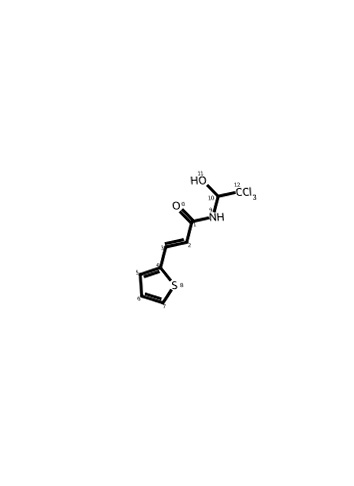 O=C(C=Cc1cccs1)NC(O)C(Cl)(Cl)Cl